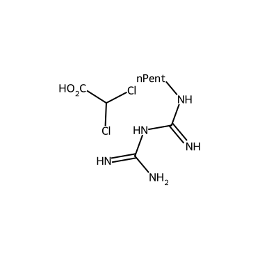 CCCCCNC(=N)NC(=N)N.O=C(O)C(Cl)Cl